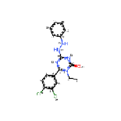 CCn1c(-c2ccc(Cl)c(Cl)c2)nc(NNc2ccccc2)nc1=O